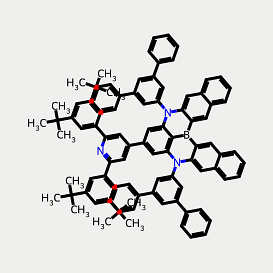 CC(C)(C)c1cc(-c2cc(-c3cc4c5c(c3)N(c3cc(-c6ccccc6)cc(-c6ccccc6)c3)c3cc6ccccc6cc3B5c3cc5ccccc5cc3N4c3cc(-c4ccccc4)cc(-c4ccccc4)c3)cc(-c3cc(C(C)(C)C)cc(C(C)(C)C)c3)n2)cc(C(C)(C)C)c1